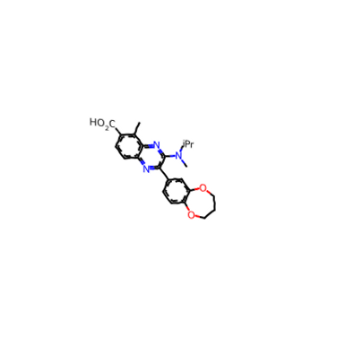 Cc1c(C(=O)O)ccc2nc(-c3ccc4c(c3)OCCCO4)c(N(C)C(C)C)nc12